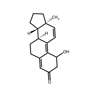 C[C@]12C=CC3=C4C(=CC(=O)CC4O)CC[C@H]3[C@@H]1CCC2